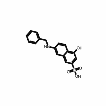 O=S(=O)(O)c1cc(O)c2ccc(NCc3ccccc3)cc2c1